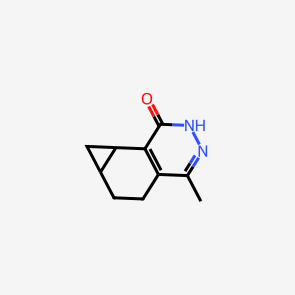 Cc1n[nH]c(=O)c2c1CCC1CC21